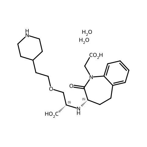 O.O.O=C(O)CN1C(=O)[C@@H](N[C@@H](COCCC2CCNCC2)C(=O)O)CCc2ccccc21